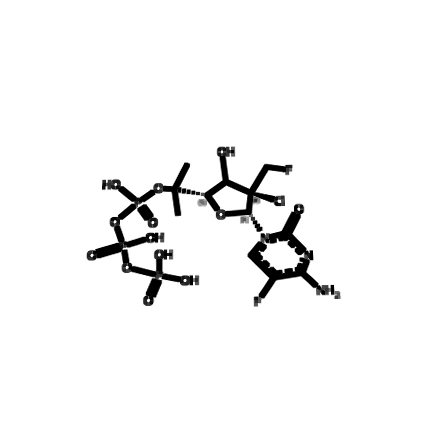 CC(C)(OP(=O)(O)OP(=O)(O)OP(=O)(O)O)[C@H]1O[C@@H](n2cc(F)c(N)nc2=O)[C@@](Cl)(CF)C1O